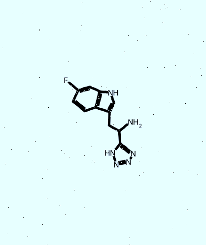 NC(Cc1c[nH]c2cc(F)ccc12)c1nnn[nH]1